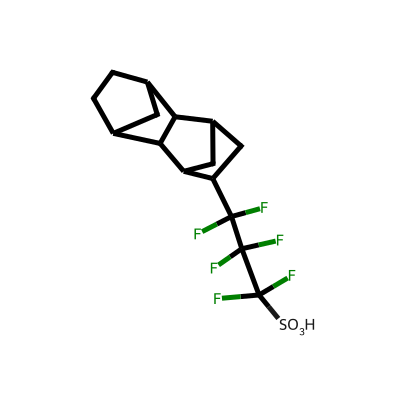 O=S(=O)(O)C(F)(F)C(F)(F)C(F)(F)C1CC2CC1C1C3CCC(C3)C21